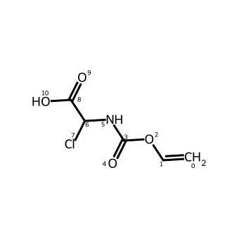 C=COC(=O)NC(Cl)C(=O)O